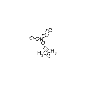 CC(C)(c1ccccc1)c1ccc(-c2ccc(N(c3ccc(-c4ccccc4)cc3)c3ccc4c(ccc5c6ccccc6ccc45)c3)cc2)cc1